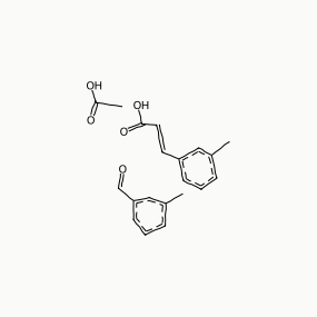 CC(=O)O.Cc1cccc(C=CC(=O)O)c1.Cc1cccc(C=O)c1